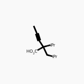 CC#CC(CC(C)C)(C(=O)O)C(C)C